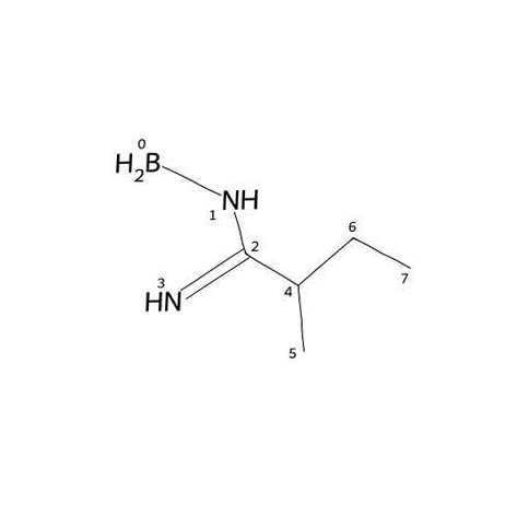 BNC(=N)C(C)CC